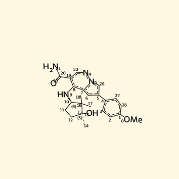 COc1ccc(-c2cc3c(N[C@@H]4CC[C@](C)(O)C4(C)C)c(C(N)=O)cnn3c2)cc1